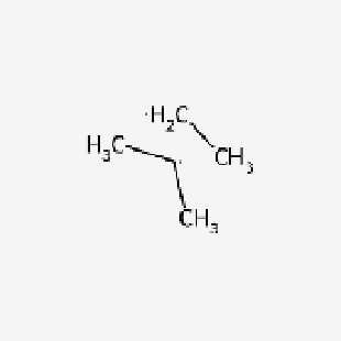 C[CH]C.[CH2]C